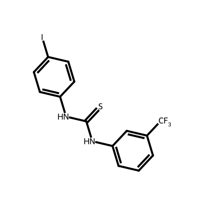 FC(F)(F)c1cccc(NC(=S)Nc2ccc(I)cc2)c1